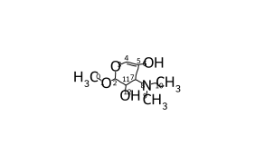 COC1OC=C(O)C(N(C)C)C1O